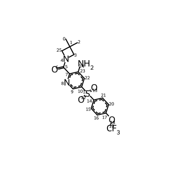 CC1(C)CN(C(=O)c2ncc(S(=O)(=O)c3ccc(OC(F)(F)F)cc3)cc2N)C1